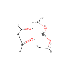 CC(=O)CC(C)=O.CC(C)[O][InH][O]C(C)C